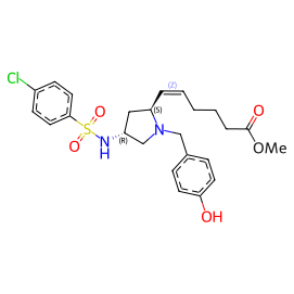 COC(=O)CCC/C=C\[C@@H]1C[C@@H](NS(=O)(=O)c2ccc(Cl)cc2)CN1Cc1ccc(O)cc1